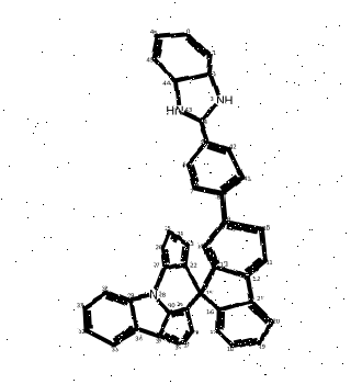 C1=CC2NC(c3ccc(-c4ccc5c(c4)C4(c6ccccc6-5)c5ccccc5-n5c6ccccc6c6cccc4c65)cc3)NC2C=C1